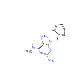 Nc1nc(N(S)C=O)c2ncn(Cc3ccccc3F)c2n1